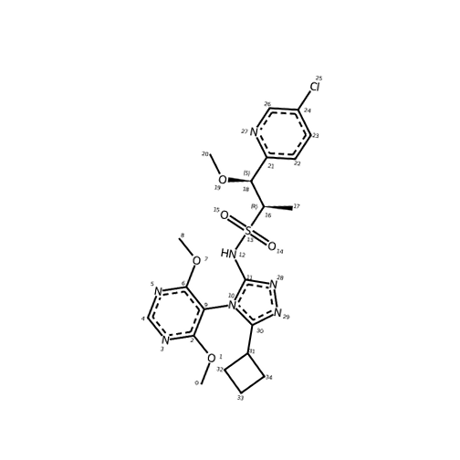 COc1ncnc(OC)c1-n1c(NS(=O)(=O)[C@H](C)[C@@H](OC)c2ccc(Cl)cn2)nnc1C1CCC1